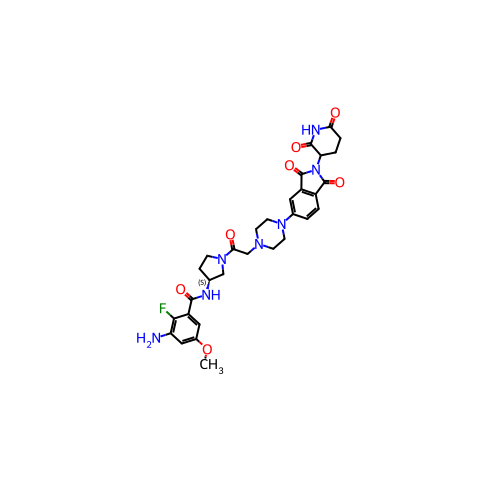 COc1cc(N)c(F)c(C(=O)N[C@H]2CCN(C(=O)CN3CCN(c4ccc5c(c4)C(=O)N(C4CCC(=O)NC4=O)C5=O)CC3)C2)c1